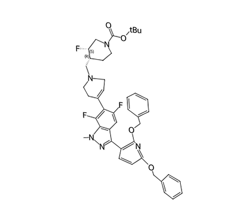 Cn1nc(-c2ccc(OCc3ccccc3)nc2OCc2ccccc2)c2cc(F)c(C3=CCN(C[C@H]4CCN(C(=O)OC(C)(C)C)C[C@H]4F)CC3)c(F)c21